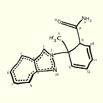 CC1(n2cc3ccccc3n2)C=CC=CC1C(N)=O